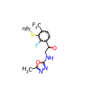 CCCSc1c(C(F)(F)F)ccc(C(=O)CNc2nnc(C)o2)c1F